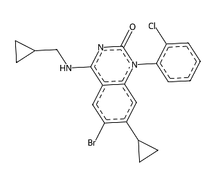 O=c1nc(NCC2CC2)c2cc(Br)c(C3CC3)cc2n1-c1ccccc1Cl